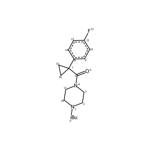 CCC(C)N1CCN(C(=O)C2(c3ccc(F)cc3)CC2)CC1